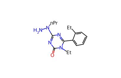 CCCN(N)c1nc(-c2ccccc2CC)n(CC)c(=O)n1